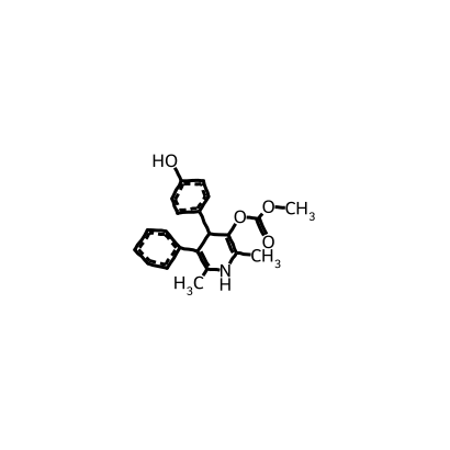 COC(=O)OC1=C(C)NC(C)=C(c2ccccc2)C1c1ccc(O)cc1